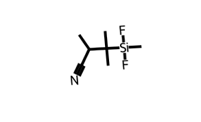 CC(C#N)C(C)(C)[Si](C)(F)F